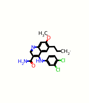 [CH2]CCc1cc2c(Nc3ccc(Cl)c(Cl)c3)c(C(N)=O)cnc2cc1OC